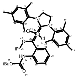 Cc1cc(C)c(N2CCN(c3c(C)cc(C)cc3C)[C]2=[Ru]([Cl])([Cl])=[C](OC(C)C)c2ccccc2NC(=O)OCC(C)C)c(C)c1